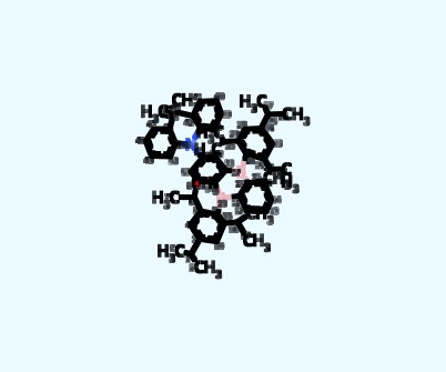 CC(C)c1cc(C(C)C)c(B2c3ccccc3B(c3c(C(C)C)cc(C(C)C)cc3C(C)C)c3cc(N4c5ccccc5[Si](C)(C)c5ccccc54)ccc32)c(C(C)C)c1